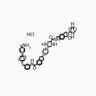 CC1(N)C=CN(c2cnc(Sc3cccc(NC(=O)c4ccc5c(c4)CC(N4CCN(C6CNC(C(=O)NCc7ccc8c(c7)CN(C7NCONO7)C8=O)CN6)CC4)C5)c3)cn2)C=C1.Cl